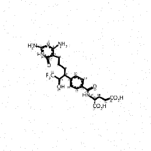 Nc1nc(N)c(CCCC(c2ccc(C(=O)N[C@@H](CCC(=O)O)C(=O)O)cc2)C(O)C(F)(F)F)c(=O)[nH]1